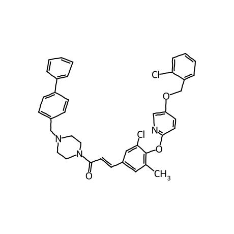 Cc1cc(/C=C/C(=O)N2CCN(Cc3ccc(-c4ccccc4)cc3)CC2)cc(Cl)c1Oc1ccc(OCc2ccccc2Cl)cn1